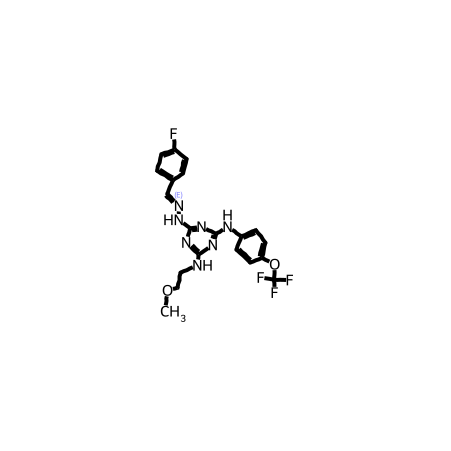 COCCNc1nc(N/N=C/c2ccc(F)cc2)nc(Nc2ccc(OC(F)(F)F)cc2)n1